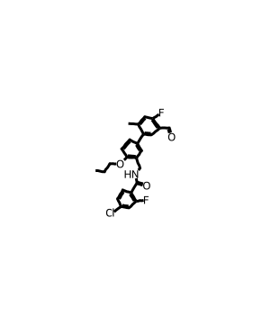 CCCOc1ccc(-c2cc(C=O)c(F)cc2C)cc1CNC(=O)c1ccc(Cl)cc1F